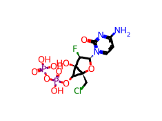 Nc1ccn([C@@H]2O[C@]3(CCl)C(OP(=O)(O)OP(=O)(O)O)[C@]3(O)[C@H]2F)c(=O)n1